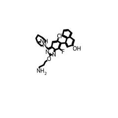 NCCCOc1nc(N2CC3CCC(C2)N3)c2cc(Cl)c(-c3cc(O)cc4ccccc34)c(F)c2n1